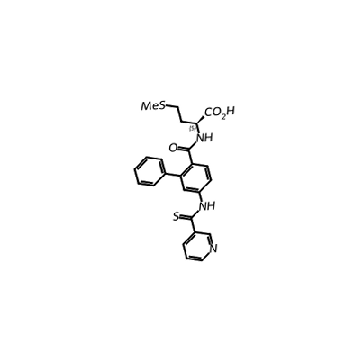 CSCC[C@H](NC(=O)c1ccc(NC(=S)c2cccnc2)cc1-c1ccccc1)C(=O)O